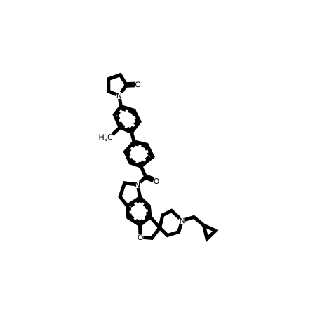 Cc1cc(N2CCCC2=O)ccc1-c1ccc(C(=O)N2CCc3cc4c(cc32)C2(CCN(CC3CC3)CC2)CO4)cc1